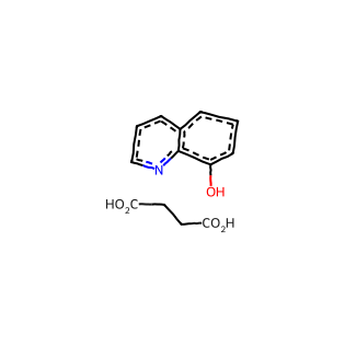 O=C(O)CCC(=O)O.Oc1cccc2cccnc12